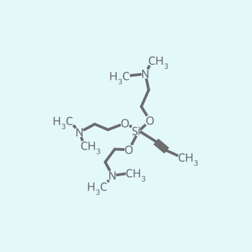 CC#C[Si](OCCN(C)C)(OCCN(C)C)OCCN(C)C